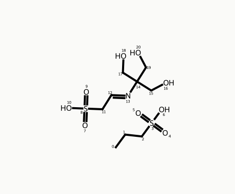 CCCS(=O)(=O)O.O=S(=O)(O)CC=NC(CO)(CO)CO